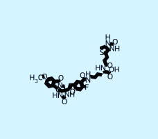 COc1ccc2c(c1)C(=O)N(C[C@@]1(c3cc4cc(C(=O)NCCCC[C@H](NC(=O)CCC5SCC6NC(=O)NC65)C(=O)O)c(F)cc4o3)NC(=O)NC1=O)C2